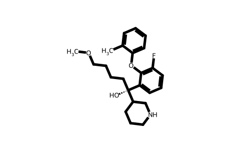 COCCCC[C@@](O)(c1cccc(F)c1Oc1ccccc1C)C1CCCNC1